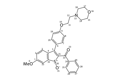 COc1ccc2c(-c3ccc(OCCN4CCOCC4)cc3)c(C(=O)c3ccccc3)[s+]([O-])c2c1